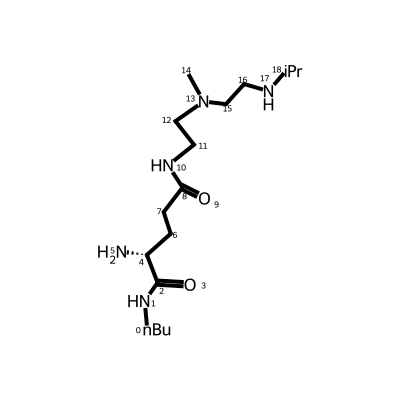 CCCCNC(=O)[C@H](N)CCC(=O)NCCN(C)CCNC(C)C